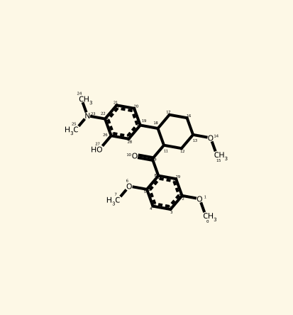 COc1ccc(OC)c(C(=O)C2CC(OC)CCC2c2ccc(N(C)C)c(O)c2)c1